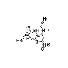 Br.CN(CC#N)c1cc([N+](=O)[O-])cc2[nH]c(=O)c(=O)[nH]c12